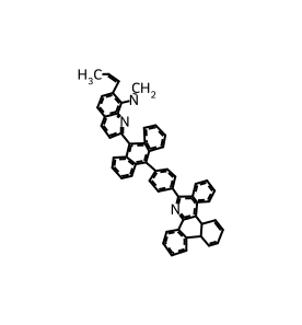 C=Nc1c(/C=C\C)ccc2ccc(-c3c4ccccc4c(-c4ccc(-c5nc6c(c7ccccc57)C5C=CC=CC5c5ccccc5-6)cc4)c4ccccc34)nc12